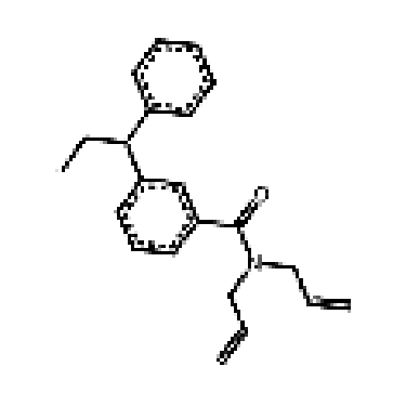 [CH2]CC(c1ccccc1)c1cccc(C(=O)N(CC=C)CC=C)c1